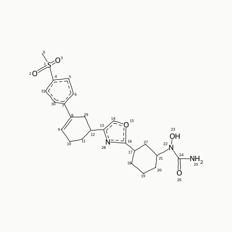 CS(=O)(=O)c1ccc(C2=CCCC(c3coc(C4CCCC(N(O)C(N)=O)C4)n3)C2)cc1